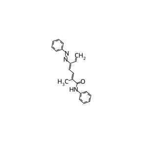 C=CC(=C\C=C(/C)C(=O)Nc1ccccc1)/N=N/c1ccccc1